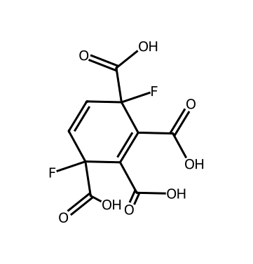 O=C(O)C1=C(C(=O)O)C(F)(C(=O)O)C=CC1(F)C(=O)O